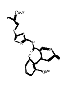 COc1cccc(F)c1-c1cc(C)ncc1C(=O)Nc1nnc(OCC(C)OC)s1